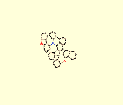 c1ccc(-c2ccccc2N(c2cccc3c2-c2ccccc2C32c3ccccc3Oc3c2ccc2ccccc32)c2cccc3oc4ccccc4c23)cc1